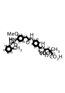 COc1cc(CC(=O)Nc2ccc([C@@H](CC(=O)O)NC(=O)CC(C)(C)CC(=O)O)cc2)ccc1NC(=O)Nc1ccccc1C